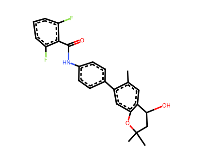 Cc1cc2c(cc1-c1ccc(NC(=O)c3c(F)cccc3F)cc1)OC(C)(C)CC2O